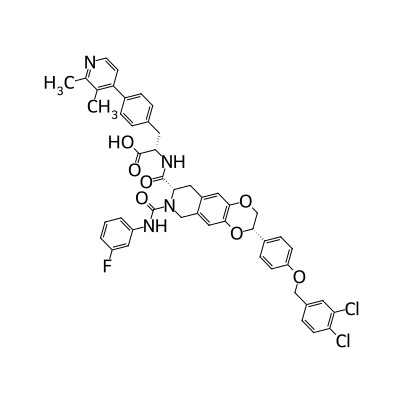 Cc1nccc(-c2ccc(C[C@H](NC(=O)[C@@H]3Cc4cc5c(cc4CN3C(=O)Nc3cccc(F)c3)O[C@@H](c3ccc(OCc4ccc(Cl)c(Cl)c4)cc3)CO5)C(=O)O)cc2)c1C